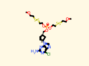 COCCSSCCOP(=O)(OCCSSCCOC)OC[C@@H]1C=C[C@H](n2cnc3c(Cl)nc(N)nc32)C1